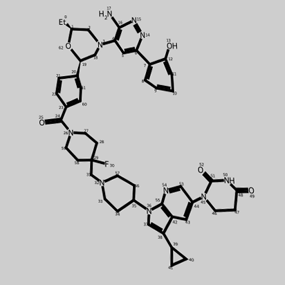 CC[C@H]1CN(c2cc(-c3ccccc3O)nnc2N)C[C@@H](c2ccc(C(=O)N3CCC(F)(CN4CCC(n5cc(C6CC6)c6cc(N7CCC(=O)NC7=O)cnc65)CC4)CC3)cc2)O1